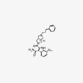 COc1cccc2c(C(N)=O)c(C(=O)N3CC4CN(CC[CH]c5ccccc5)C[C@H]4C3)[nH]c12